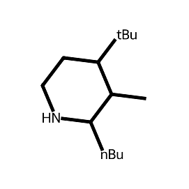 CCCCC1NCCC(C(C)(C)C)C1C